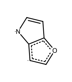 [c]1coc2c1[N]C=C2